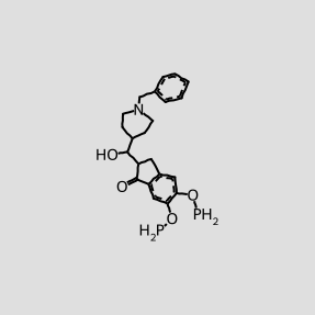 O=C1c2cc(OP)c(OP)cc2CC1C(O)C1CCN(Cc2ccccc2)CC1